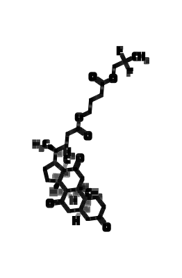 C[C@@H](CCC(=O)OCCCC(=O)OCC(C)(F)F)C1CC[C@H]2[C@@H]3C(=O)C[C@@H]4CC(=O)CC[C@]4(C)[C@H]3CC(=O)[C@]12C